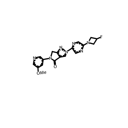 COc1cncc(N2Cc3nn(-c4cnc(N5CC(F)C5)cn4)cc3C2=O)c1